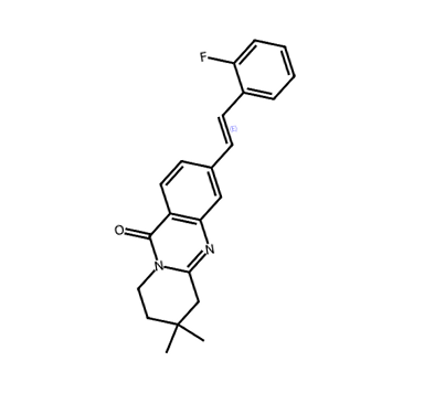 CC1(C)CCn2c(nc3cc(/C=C/c4ccccc4F)ccc3c2=O)C1